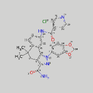 CC1(C)Cc2c(C(N)=O)nn(-c3ccc4c(c3)OCO4)c2-c2cc(NC(=O)c3ccncc3Cl)ccc21